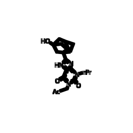 CCCn1c(=O)n(CC(C)=O)c(=O)c2[nH]c(C34CC5CC3CC(O)(C5)C4)nc21